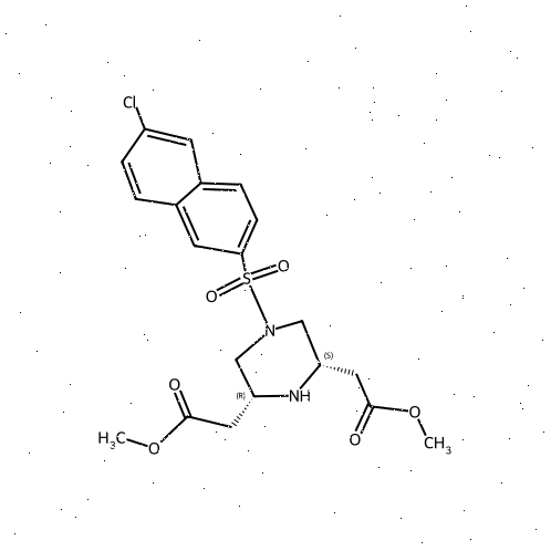 COC(=O)C[C@@H]1CN(S(=O)(=O)c2ccc3cc(Cl)ccc3c2)C[C@H](CC(=O)OC)N1